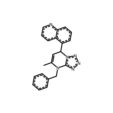 CC1=CC(c2cccc3ncccc23)n2nnnc2N1Cc1ccccc1